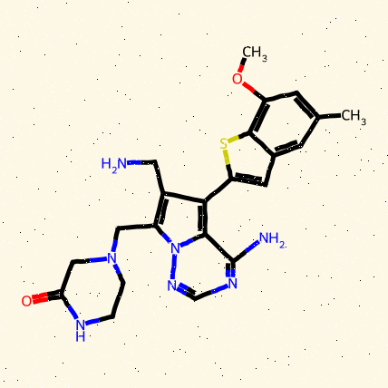 COc1cc(C)cc2cc(-c3c(CN)c(CN4CCNC(=O)C4)n4ncnc(N)c34)sc12